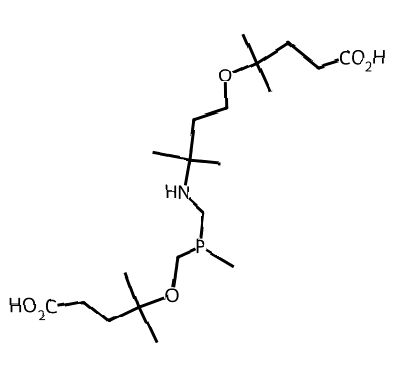 CP(CNC(C)(C)CCOC(C)(C)CCC(=O)O)COC(C)(C)CCC(=O)O